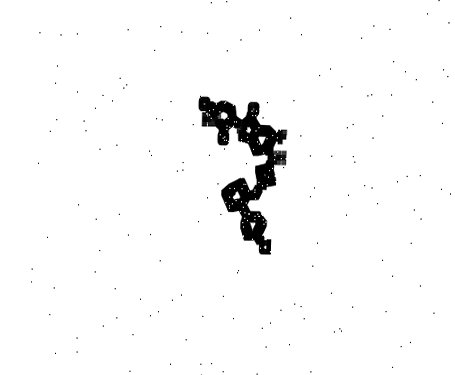 O=C1CCC(N2Cc3cc(NC4CN(Cc5ccccc5-c5ccc(Cl)cc5)C4)c(F)cc3C2=O)C(=O)N1